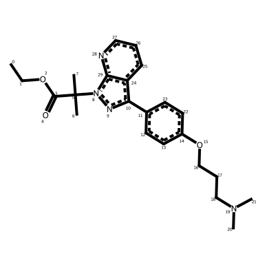 CCOC(=O)C(C)(C)n1nc(-c2ccc(OCCCN(C)C)cc2)c2cccnc21